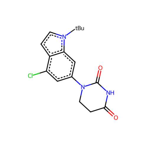 CC(C)(C)n1ccc2c(Cl)cc(N3CCC(=O)NC3=O)cc21